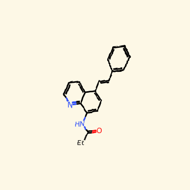 CCC(=O)Nc1ccc(C=Cc2ccccc2)c2cccnc12